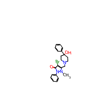 Cn1c(CN2CCC(O)(c3ccccc3)CC2)c(Br)c(=O)n1-c1ccccc1